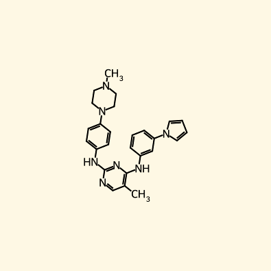 Cc1cnc(Nc2ccc(N3CCN(C)CC3)cc2)nc1Nc1cccc(-n2cccc2)c1